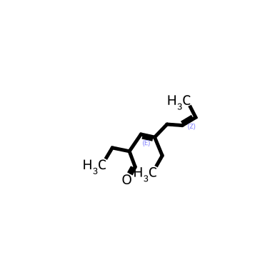 C/C=C\C/C(=C/C(C=O)CC)CC